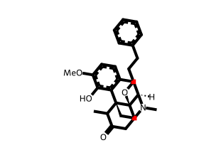 COc1ccc2c(c1O)[C@]13CCN(C)[C@H](C2)[C@]1(OCCCc1ccccc1)CCC(=O)C3C